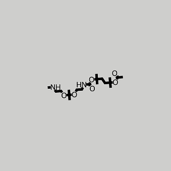 CNCCOC(C)(C)OCCNC(=O)OC(C)(C)CCC(C)(C)OC(C)=O